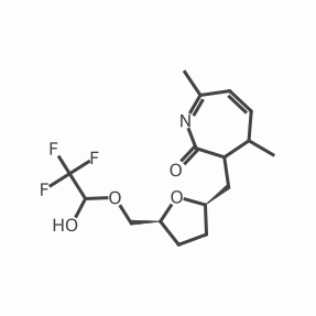 CC1=NC(=O)C(C[C@H]2CC[C@@H](COC(O)C(F)(F)F)O2)C(C)C=C1